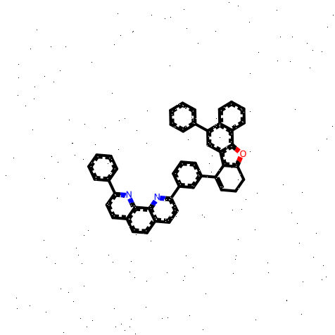 C1=C(c2cccc(-c3ccc4ccc5ccc(-c6ccccc6)nc5c4n3)c2)c2c(oc3c2cc(-c2ccccc2)c2ccccc23)CC1